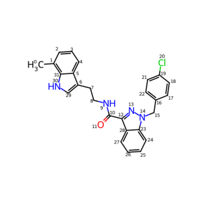 Cc1cccc2c(CCNC(=O)c3nn(Cc4ccc(Cl)cc4)c4ccccc34)c[nH]c12